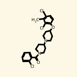 Cc1c(Cl)ccc(OC2CCN(C3CCN(C(=O)c4ccccc4Cl)CC3)CC2)c1Cl